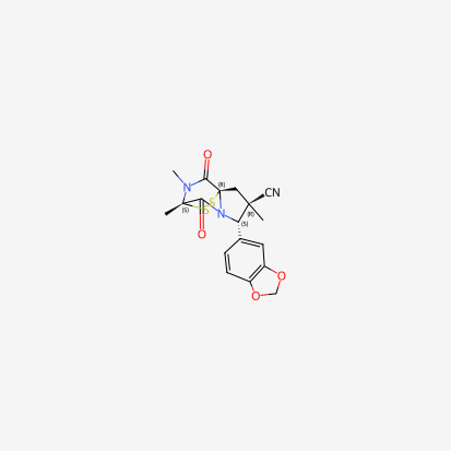 CN1C(=O)[C@]23C[C@@](C)(C#N)[C@H](c4ccc5c(c4)OCO5)N2C(=O)[C@]1(C)SS3